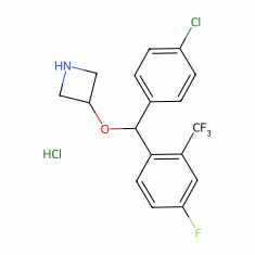 Cl.Fc1ccc(C(OC2CNC2)c2ccc(Cl)cc2)c(C(F)(F)F)c1